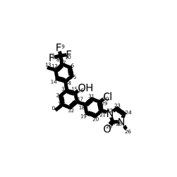 Cc1cc(-c2ccc(C(F)(F)F)c(C)c2)c(O)c(-c2ccc(-n3ccn(C)c3=O)c(Cl)c2)c1